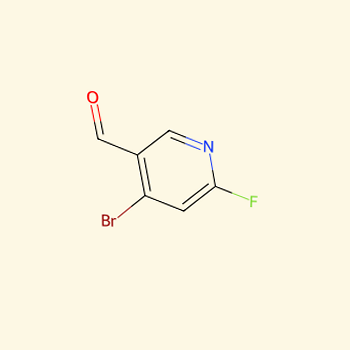 O=Cc1cnc(F)cc1Br